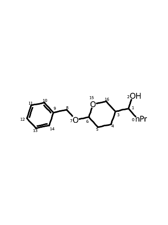 CCCC(O)C1CCC(OCc2ccccc2)OC1